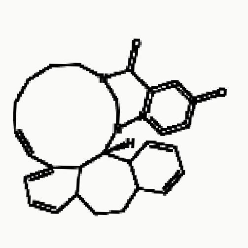 O=C1c2cc(=O)ccn2N2CN1CCCC/C=C\C1=CC=CC3CCC4C=CC=CC4[C@@H]2C13